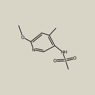 COc1cc(C)c(NS(C)(=O)=O)cn1